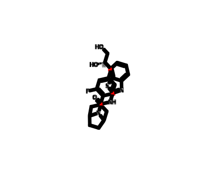 O=C(Nc1nc2ccccc2s1)N1C2CCC1CN(c1ncc(C[C@H](O)CO)cc1F)C2